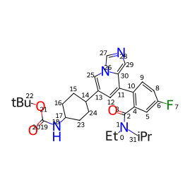 CCN(C(=O)c1cc(F)ccc1-c1cc(C2CCC(NC(=O)OC(C)(C)C)CC2)cn2cncc12)C(C)C